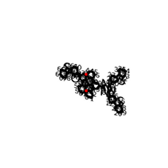 c1ccc(-c2cc(-c3nc(-c4ccc5c(c4)sc4ccccc45)nc(-c4ccc5c(c4)sc4ccccc45)n3)cc(-c3ccccc3)c2-n2c3ccccc3c3c4oc5c(ccc6sc7ccccc7c65)c4ccc32)cc1